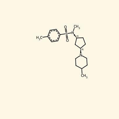 Cc1ccc(S(=O)(=O)N(C)[C@H]2CC[C@@H](N3CCC(C)CC3)C2)cc1